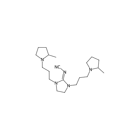 CC1CCCN1CCCN1CCN(CCCN2CCCC2C)C1=NC#N